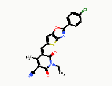 CCN1C(=O)C(C#N)=C(C)/C(=C/c2cc3oc(-c4ccc(Cl)cc4)nc3s2)C1=O